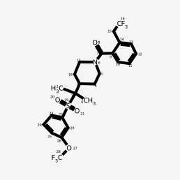 CC(C)(C1CCN(C(=O)c2ccccc2CC(F)(F)F)CC1)S(=O)(=O)c1cccc(OC(F)(F)F)c1